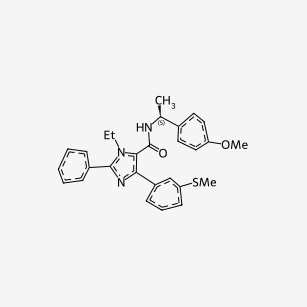 CCn1c(-c2ccccc2)nc(-c2cccc(SC)c2)c1C(=O)N[C@@H](C)c1ccc(OC)cc1